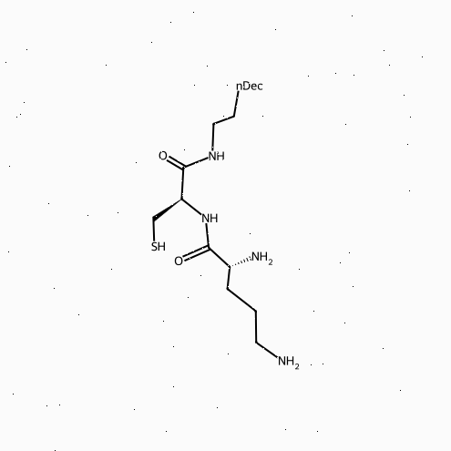 CCCCCCCCCCCCNC(=O)[C@H](CS)NC(=O)[C@H](N)CCCN